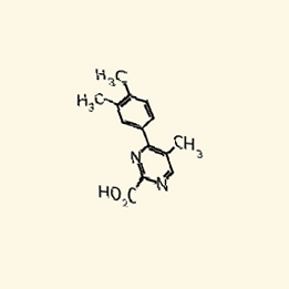 Cc1ccc(-c2nc(C(=O)O)ncc2C)cc1C